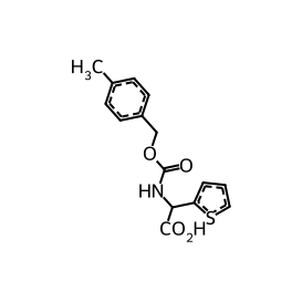 Cc1ccc(COC(=O)NC(C(=O)O)c2cccs2)cc1